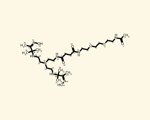 CC(=O)NCCOCCOCCNC(=O)CCC(=O)NCCN(CCNC(C)(C)/C(C)=N\O)CCNC(C)(C)/C(C)=N\O